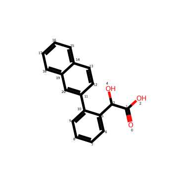 O=C(O)C(O)c1ccccc1-c1ccc2ccccc2c1